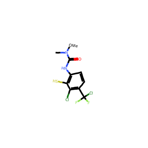 CON(C)C(=O)Nc1ccc(C(F)(F)Cl)c(Cl)c1S